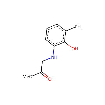 COC(=O)CNc1cccc(C)c1O